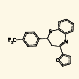 FC(F)(F)c1ccc(C2CC(c3ccco3)=Nc3ccccc3S2)cc1